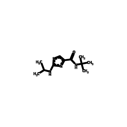 CC(C)Nc1nc(C(=O)NC(C)(C)C)cs1